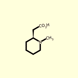 CN1CCCC[C@H]1CC(=O)O